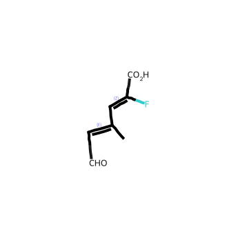 CC(/C=C(\F)C(=O)O)=C\C=O